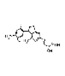 Cc1cc(F)c(C2CCc3cc(OCP(O)SO)cc(C)c32)cc1C(C)C